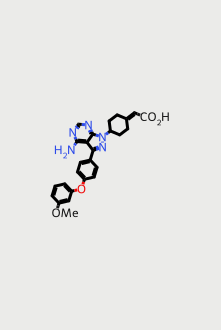 COc1cccc(Oc2ccc(-c3nn(C4CCC(=CC(=O)O)CC4)c4ncnc(N)c34)cc2)c1